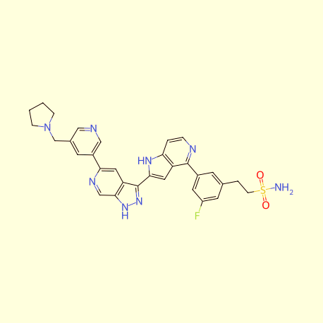 NS(=O)(=O)CCc1cc(F)cc(-c2nccc3[nH]c(-c4n[nH]c5cnc(-c6cncc(CN7CCCC7)c6)cc45)cc23)c1